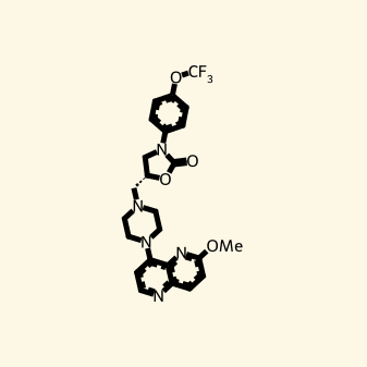 COc1ccc2nccc(N3CCN(C[C@@H]4CN(c5ccc(OC(F)(F)F)cc5)C(=O)O4)CC3)c2n1